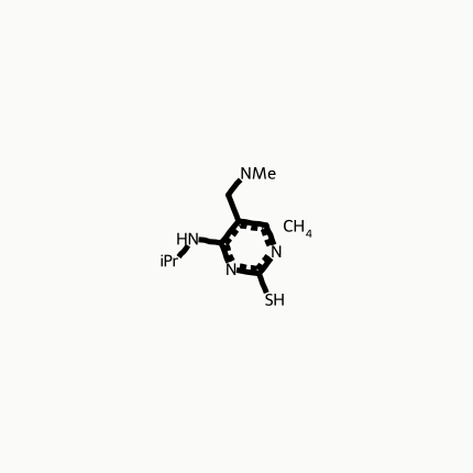 C.CNCc1cnc(S)nc1NC(C)C